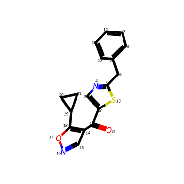 O=C(c1cnc(Cc2ccccc2)s1)c1cnoc1C1CC1